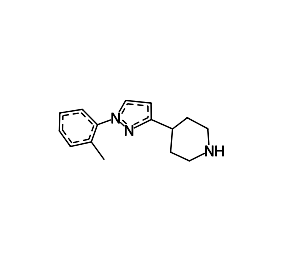 Cc1ccccc1-n1ccc(C2CCNCC2)n1